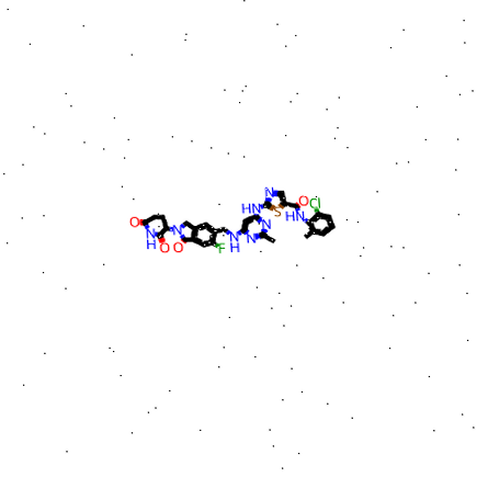 Cc1nc(NCc2cc3c(cc2F)C(=O)N(C2CCC(=O)NC2=O)C3)cc(Nc2ncc(C(=O)Nc3c(C)cccc3Cl)s2)n1